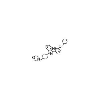 N[N+]12C=CN=CC1=C(C1CCC(CN3CCOCC3)CC1)N=C2c1cccc(OCc2ccccc2)c1